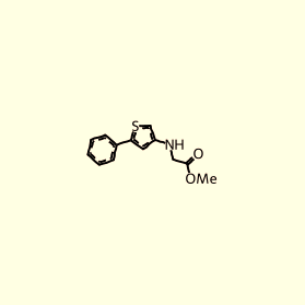 COC(=O)CNc1csc(-c2ccccc2)c1